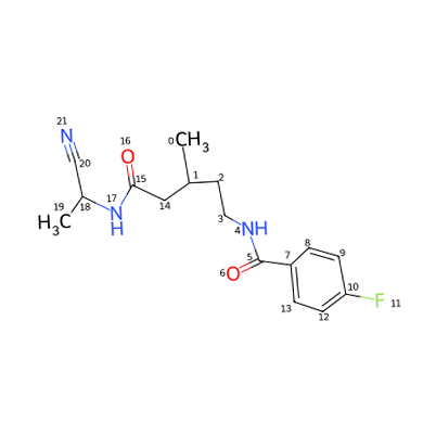 CC(CCNC(=O)c1ccc(F)cc1)CC(=O)NC(C)C#N